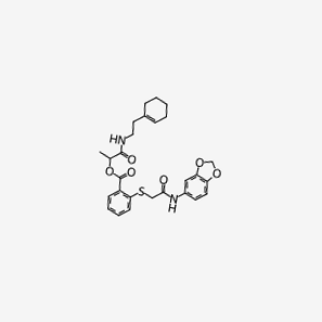 CC(OC(=O)c1ccccc1SCC(=O)Nc1ccc2c(c1)OCO2)C(=O)NCCC1=CCCCC1